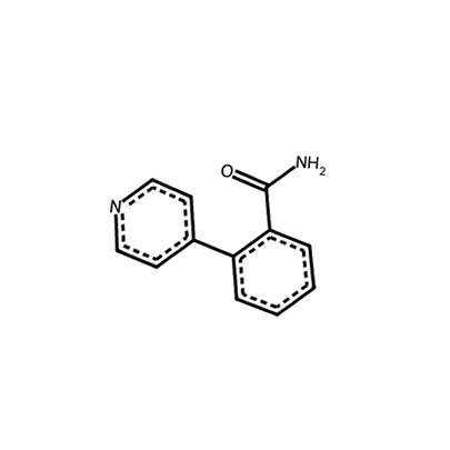 NC(=O)c1ccccc1-c1ccncc1